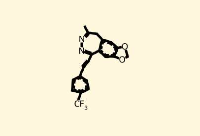 CC1=NN=C(C=Cc2ccc(C(F)(F)F)cc2)c2cc3c(cc2C1)OCO3